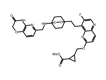 COC(=O)C1CC1COc1ccc2ncc(F)c(CCC34CCC(NCc5ccc6c(n5)NC(=O)CO6)(CC3)CO4)c2n1